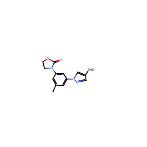 Cc1cc(N2CCOC2=O)cc(-n2cc(C=O)cn2)c1